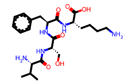 CC(C)[C@H](N)C(=O)N[C@@H](CO)C(=O)N[C@@H](Cc1ccccc1)C(=O)N[C@@H](CCCCN)C(=O)O